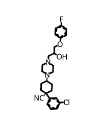 N#C[C@]1(c2cccc(Cl)c2)CC[C@H](N2CCN(CC(O)COc3ccc(F)cc3)CC2)CC1